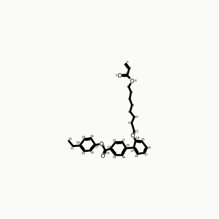 C=CC(=O)OCCCCCCCCOc1ccccc1-c1ccc(C(=O)Oc2ccc(CC)cc2)cc1